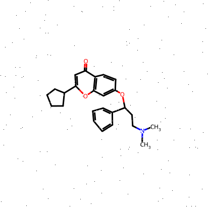 CN(C)CCC(Oc1ccc2c(=O)cc(C3CCCC3)oc2c1)c1ccccc1